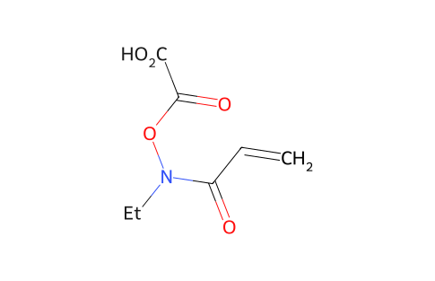 C=CC(=O)N(CC)OC(=O)C(=O)O